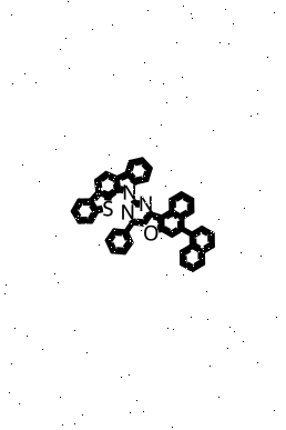 c1ccc(-c2nc(-n3c4ccccc4c4ccc5c6ccccc6sc5c43)nc3c2oc2cc(-c4cccc5ccccc45)c4ccccc4c23)cc1